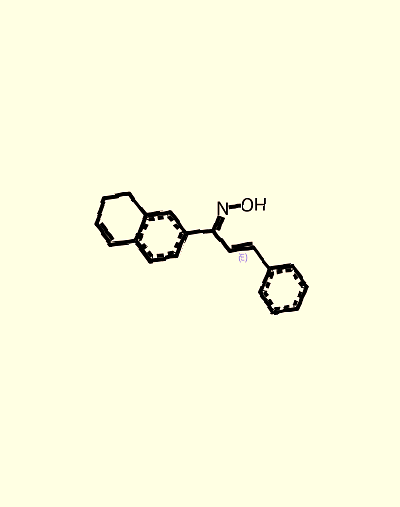 ON=C(/C=C/c1ccccc1)c1ccc2c(c1)CCC=C2